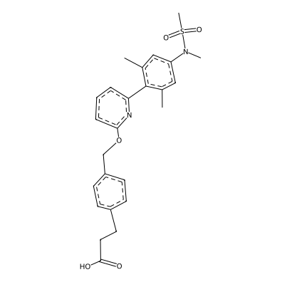 Cc1cc(N(C)S(C)(=O)=O)cc(C)c1-c1cccc(OCc2ccc(CCC(=O)O)cc2)n1